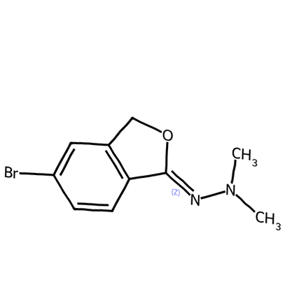 CN(C)/N=C1\OCc2cc(Br)ccc21